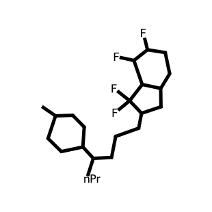 CCCC(CCCC1CC2CCC(F)C(F)C2C1(F)F)C1CCC(C)CC1